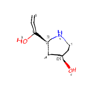 C=C(O)[C@@H]1C[C@H](O)CN1